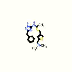 CC(Nc1nc(Cc2ccccc2)n[nH]1)SCc1csc(CN(C)C)c1